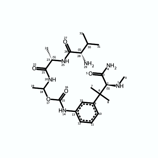 CN[C@H](C(N)=O)C(C)(C)c1cccc(NC(=O)OC(C)NC(=O)[C@H](C)NC(=O)[C@@H](N)C(C)C)c1